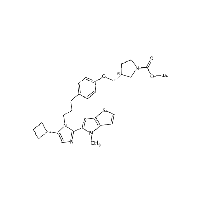 Cn1c(-c2ncc(C3CCC3)n2CCCc2ccc(OC[C@@H]3CCN(C(=O)OC(C)(C)C)C3)cc2)cc2sccc21